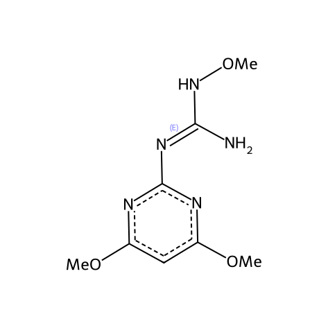 CON/C(N)=N/c1nc(OC)cc(OC)n1